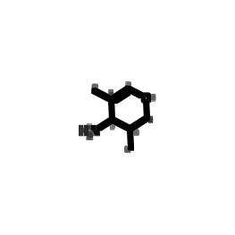 CC1=COCC(C)C1N